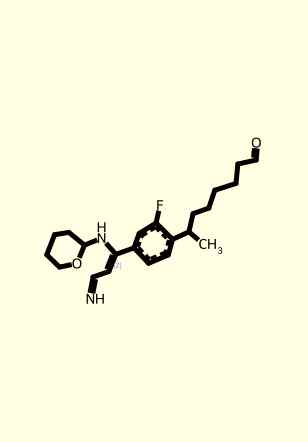 CC(CCCCCC=O)c1ccc(/C(=C/C=N)NC2CCCCO2)cc1F